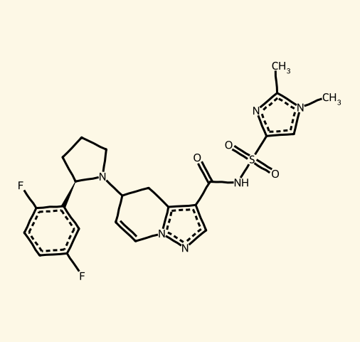 Cc1nc(S(=O)(=O)NC(=O)c2cnn3c2CC(N2CCC[C@@H]2c2cc(F)ccc2F)C=C3)cn1C